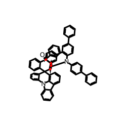 O=P1(c2ccccc2)c2ccccc2C2(c3ccccc3-n3c4ccccc4c4cccc2c43)c2ccc(N(c3ccc(-c4ccccc4)cc3)c3ccc(-c4ccccc4)cc3-c3ccccc3)cc21